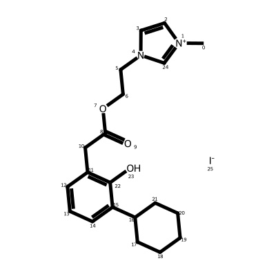 C[n+]1ccn(CCOC(=O)Cc2cccc(C3CCCCC3)c2O)c1.[I-]